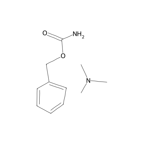 CN(C)C.NC(=O)OCc1ccccc1